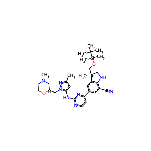 Cc1cc(Nc2nccc(-c3cc(C#N)c4c(c3)[C@@](C)(CO[Si](C)(C)C(C)(C)C)CN4)n2)n(C[C@@H]2CN(C)CCO2)n1